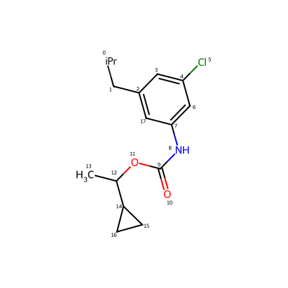 CC(C)Cc1cc(Cl)cc(NC(=O)OC(C)C2CC2)c1